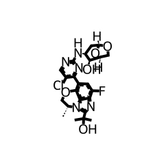 C[C@@H]1COc2c(-c3nc(N[C@@H]4C[C@H]5OC[C@H](O5)[C@H]4O)ncc3Cl)cc(F)c3nc(C(C)(C)O)n1c23